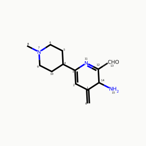 C=C1C=C(C2CCN(C)CC2)N=C(C=O)C1N